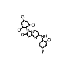 O=c1cc2nc(Nc3ccc(F)cc3Cl)ccn2n1-c1c(Cl)cc(Cl)cc1Cl